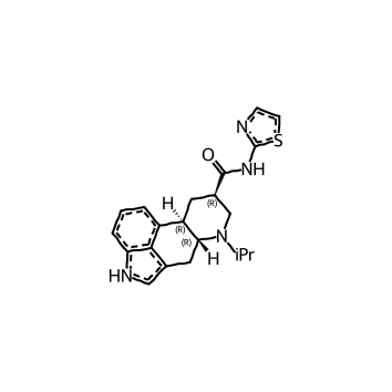 CC(C)N1C[C@H](C(=O)Nc2nccs2)C[C@@H]2c3cccc4[nH]cc(c34)C[C@H]21